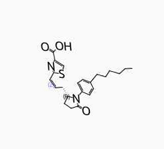 CCCCCCc1ccc(N2C(=O)CC[C@@H]2C/C=C\c2nc(C(=O)O)cs2)cc1